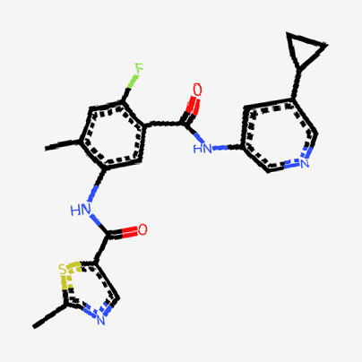 Cc1ncc(C(=O)Nc2cc(C(=O)Nc3cncc(C4CC4)c3)c(F)cc2C)s1